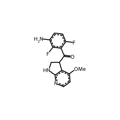 COc1ccnc2c1C(C(=O)c1c(F)ccc(N)c1F)CN2